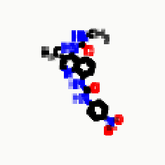 CNC(=O)Nc1c(C)cnc2c(NC(=O)Nc3ccc([N+](=O)[O-])cc3)cccc12